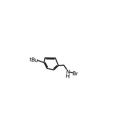 CC(C)(C)c1ccc(CNBr)cc1